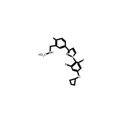 Cc1ccc(-c2ccn(-c3c(F)cc(OC4CCC4)cc3F)n2)cc1CNC(=O)O